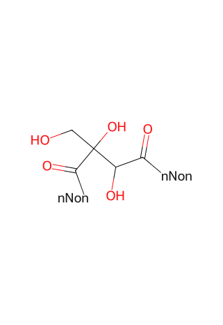 CCCCCCCCCC(=O)C(O)C(O)(CO)C(=O)CCCCCCCCC